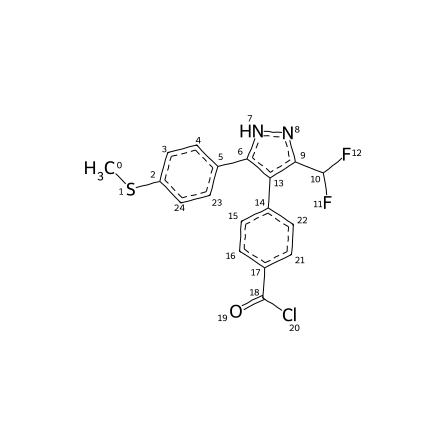 CSc1ccc(-c2[nH]nc(C(F)F)c2-c2ccc(C(=O)Cl)cc2)cc1